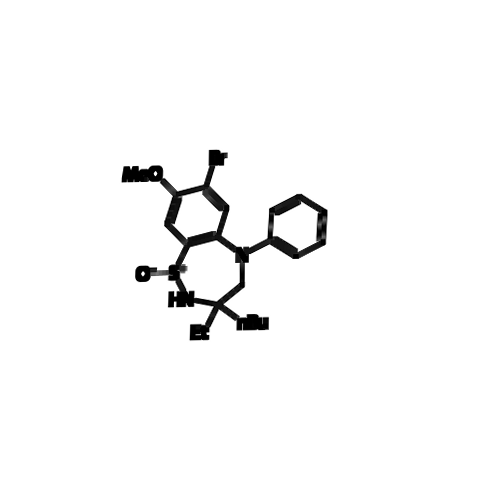 CCCCC1(CC)CN(c2ccccc2)c2cc(Br)c(OC)cc2[S+]([O-])N1